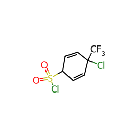 O=S(=O)(Cl)C1C=CC(Cl)(C(F)(F)F)C=C1